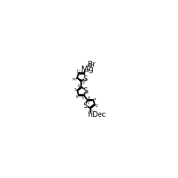 CCCCCCCCCCc1ccc(-c2ccc(-c3cc[c]([Mg][Br])s3)s2)s1